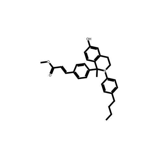 CCCCc1ccc(N2CCc3cc(O)ccc3C2(C)c2ccc(C=CC(=O)OC)cc2)cc1